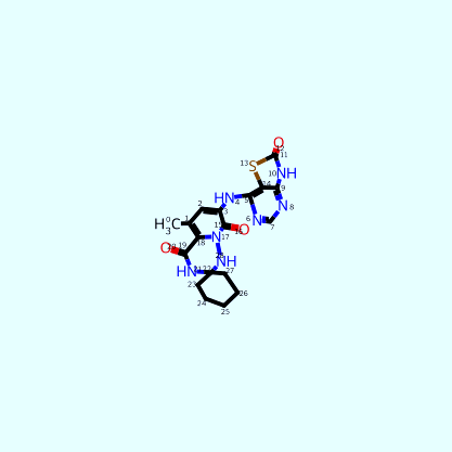 Cc1cc(Nc2ncnc3[nH]c(=O)sc23)c(=O)n2c1C(=O)NC1(CCCCC1)N2